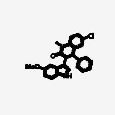 COc1ccc2[nH]cc(-c3c(-c4ccccc4)c4cc(Cl)ccc4n(C)c3=O)c2c1